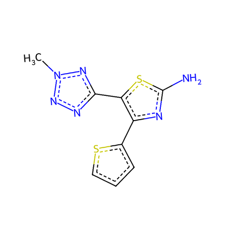 Cn1nnc(-c2sc(N)nc2-c2cccs2)n1